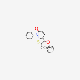 CCOC(=O)c1sc2c(ccc(=O)n2-c2ccccc2)c1Oc1ccccc1